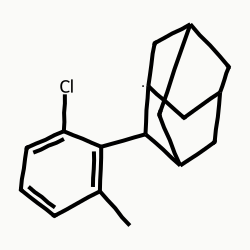 Cc1cccc(Cl)c1C1[C]2CC3CC(C2)CC1C3